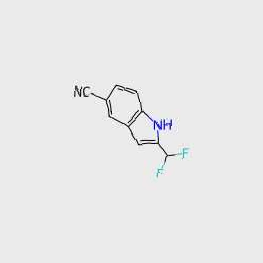 N#Cc1ccc2[nH]c(C(F)F)cc2c1